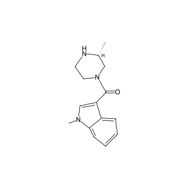 C[C@@H]1CN(C(=O)c2cn(C)c3ccccc23)CCN1